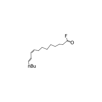 CCCC/C=C/C=C\CCCCCCCC(=O)F